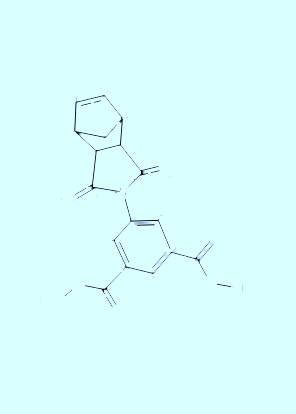 COC(=O)c1cc(C(=O)OC)cc(N2C(=O)C3C4C=CC(C4)C3C2=O)c1